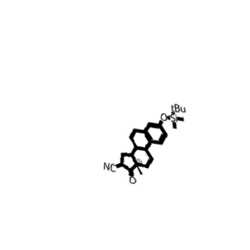 CC(C)(C)[Si](C)(C)Oc1ccc2c(c1)CCC1C2CC[C@]2(C)C(=O)C(C#N)CC12